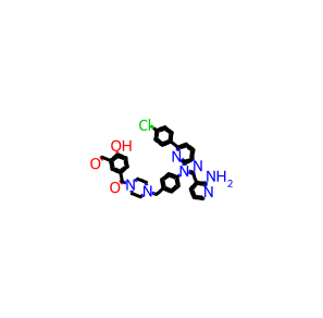 Nc1ncccc1-c1nc2ccc(-c3ccc(Cl)cc3)nc2n1-c1ccc(CN2CCN(C(=O)c3ccc(O)c(C=O)c3)CC2)cc1